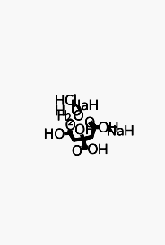 Cl.O.O.O=C(O)CC(O)(CC(=O)O)C(=O)O.[NaH].[NaH]